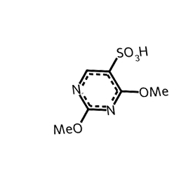 COc1ncc(S(=O)(=O)O)c(OC)n1